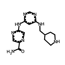 NC(=O)c1cnc(Nc2cc(NCC3CCNCC3)ncn2)cn1